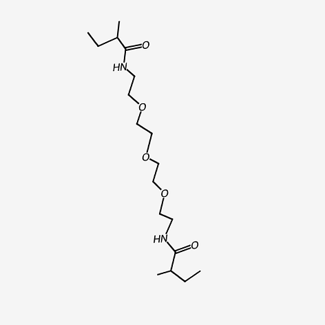 CCC(C)C(=O)NCCOCCOCCOCCNC(=O)C(C)CC